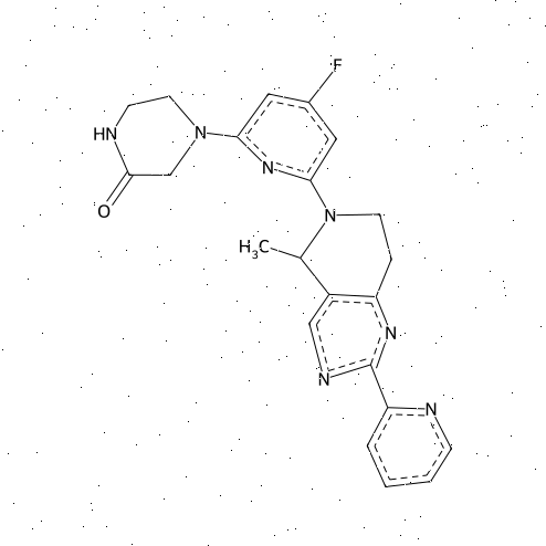 CC1c2cnc(-c3ccccn3)nc2CCN1c1cc(F)cc(N2CCNC(=O)C2)n1